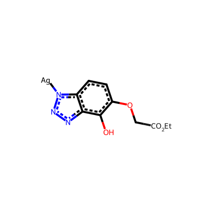 CCOC(=O)COc1ccc2c(nn[n]2[Ag])c1O